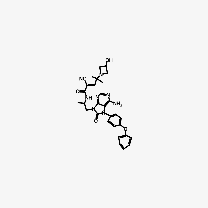 CC(Cn1c(=O)n(-c2ccc(Oc3ccccc3)cc2)c2c(N)ncnc21)NC(=O)C(C#N)=CC(C)(C)N1CC(O)C1